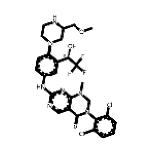 COCC1CN(c2ccc(Nc3ncc4c(n3)N(C)CN(c3c(Cl)cccc3Cl)C4=O)cc2[C@@H](O)C(F)(F)F)CCN1